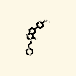 Nc1ccc(-c2ccc3ncn(CCN4CCOCC4)c(=O)c3c2)cn1